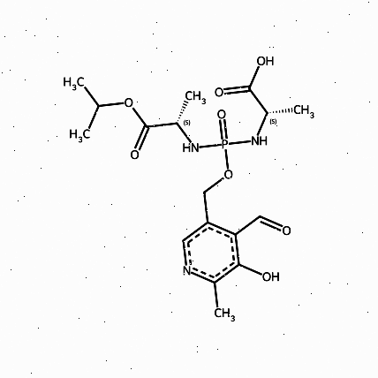 Cc1ncc(COP(=O)(N[C@@H](C)C(=O)O)N[C@@H](C)C(=O)OC(C)C)c(C=O)c1O